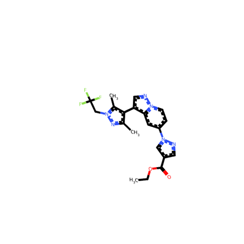 CCOC(=O)c1cnn(-c2ccn3ncc(-c4c(C)nn(CC(F)(F)F)c4C)c3c2)c1